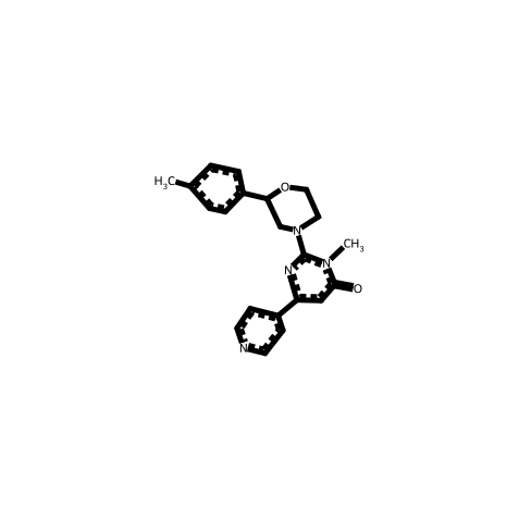 Cc1ccc(C2CN(c3nc(-c4ccncc4)cc(=O)n3C)CCO2)cc1